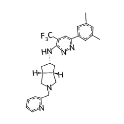 Cc1cc(C)cc(-c2cc(C(F)(F)F)c(N[C@@H]3C[C@@H]4CN(Cc5ccccn5)C[C@@H]4C3)nn2)c1